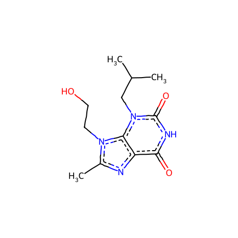 Cc1nc2c(=O)[nH]c(=O)n(CC(C)C)c2n1CCO